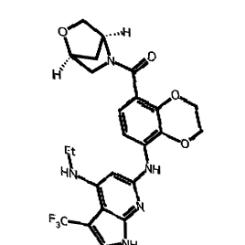 CCNc1cc(Nc2ccc(C(=O)N3C[C@@H]4C[C@H]3CO4)c3c2OCCO3)nc2[nH]cc(C(F)(F)F)c12